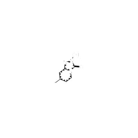 Cn1nc2cc(I)ccn2c1=O